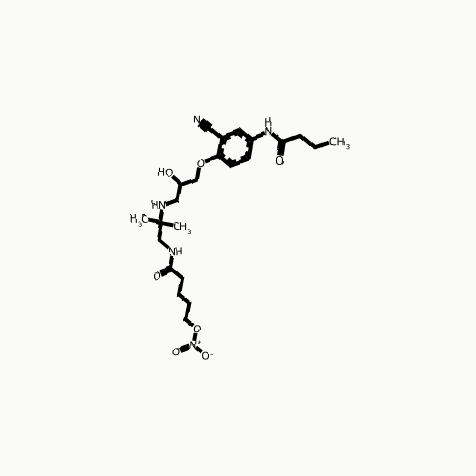 CCCC(=O)Nc1ccc(OCC(O)CNC(C)(C)CNC(=O)CCCCO[N+](=O)[O-])c(C#N)c1